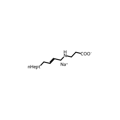 CCCCCCCCC=CCNCCC(=O)[O-].[Na+]